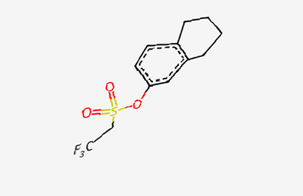 O=S(=O)(CC(F)(F)F)Oc1ccc2c(c1)CCCC2